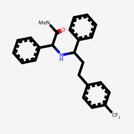 CNC(=O)C(NC(CCc1ccc(C(F)(F)F)cc1)c1ccccc1)c1ccccc1